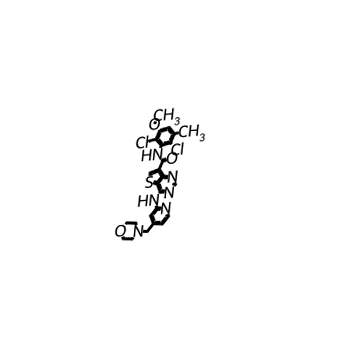 COc1cc(C)c(Cl)c(NC(=O)c2csc3c(Nc4cc(CN5CCOCC5)ccn4)ncnc23)c1Cl